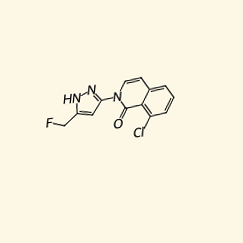 O=c1c2c(Cl)cccc2ccn1-c1cc(CF)[nH]n1